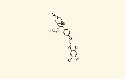 CC(=O)N1CC2CC(c3ccc(OCCOc4cc(Cl)c(Cl)cc4Cl)cc3)=C(C(=O)O)C(C1)N2